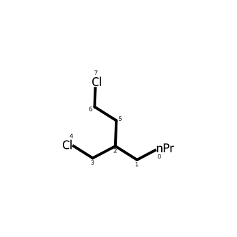 CCCCC(CCl)CCCl